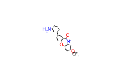 CN1C(=O)c2cc(-c3cccc(N)c3)ccc2Oc2ccc(OC(F)(F)F)cc21